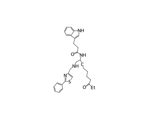 CCC(=O)CCCCCC(CNCc1csc(-c2ccccc2)n1)NC(=O)CCc1c[nH]c2ccccc12